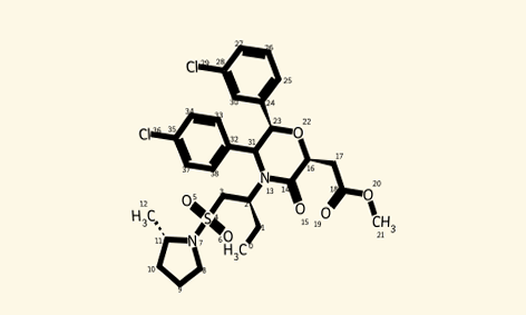 CC[C@@H](CS(=O)(=O)N1CCC[C@@H]1C)N1C(=O)[C@H](CC(=O)OC)O[C@H](c2cccc(Cl)c2)C1c1ccc(Cl)cc1